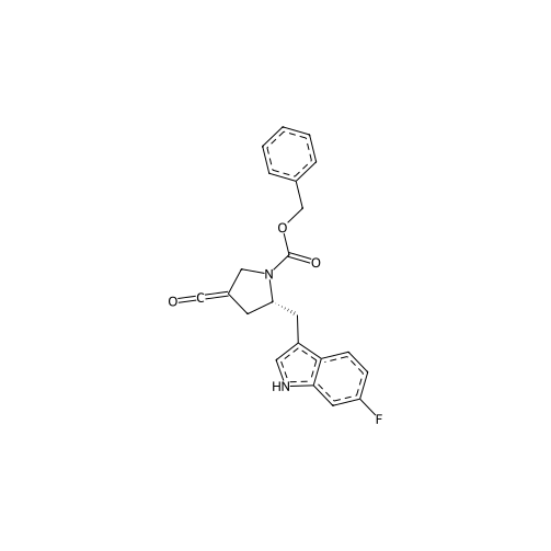 O=C=C1C[C@@H](Cc2c[nH]c3cc(F)ccc23)N(C(=O)OCc2ccccc2)C1